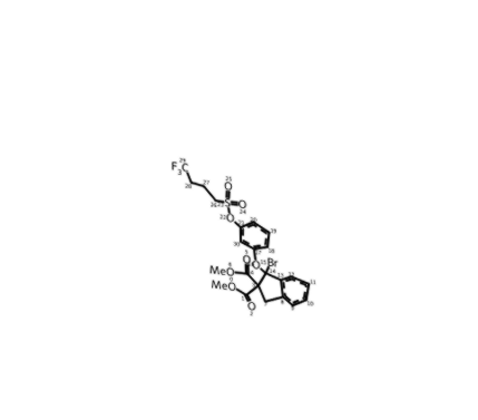 COC(=O)C1(C(=O)OC)Cc2ccccc2C1(Br)Oc1cccc(OS(=O)(=O)CCCC(F)(F)F)c1